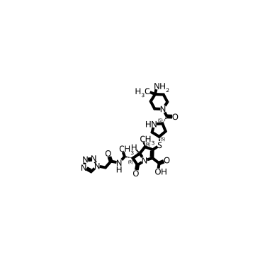 CC(NC(=O)Cn1cnnn1)[C@H]1C(=O)N2C(C(=O)O)=C(S[C@@H]3CN[C@H](C(=O)N4CCC(C)(N)CC4)C3)[C@H](C)[C@H]12